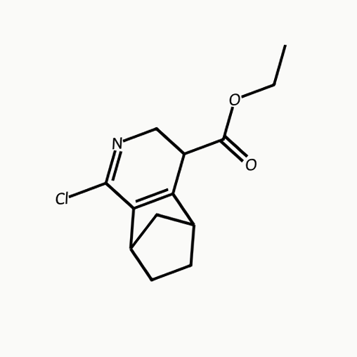 CCOC(=O)C1CN=C(Cl)C2=C1C1CCC2C1